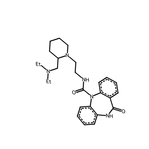 CCN(CC)CC1CCCCN1CCNC(=O)N1c2ccccc2NC(=O)c2ccccc21